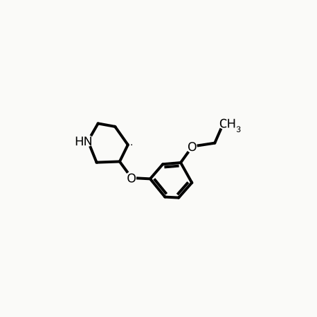 CCOc1cccc(OC2[CH]CCNC2)c1